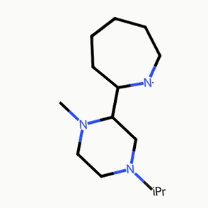 CC(C)N1CCN(C)C(C2CCCCC[N]2)C1